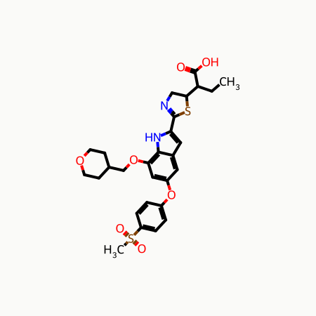 CCC(C(=O)O)C1CN=C(c2cc3cc(Oc4ccc(S(C)(=O)=O)cc4)cc(OCC4CCOCC4)c3[nH]2)S1